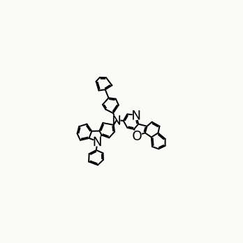 c1ccc(-c2ccc(N(c3cnc4c(c3)oc3c5ccccc5ccc43)c3ccc4c(c3)c3ccccc3n4-c3ccccc3)cc2)cc1